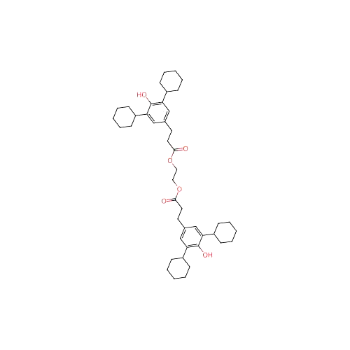 O=C(CCc1cc(C2CCCCC2)c(O)c(C2CCCCC2)c1)OCCOC(=O)CCc1cc(C2CCCCC2)c(O)c(C2CCCCC2)c1